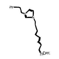 CCCCCCCCCCCCCCCCCCn1cc[n+](CCC(C)C)c1